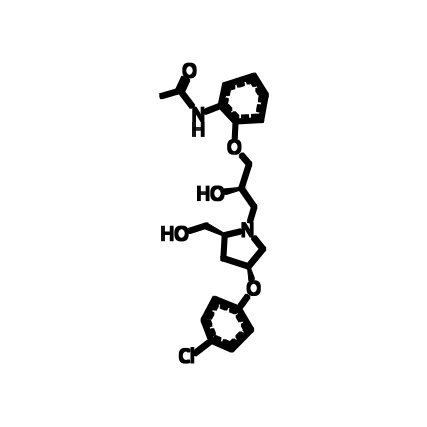 CC(=O)Nc1ccccc1OC[C@H](O)CN1C[C@@H](Oc2ccc(Cl)cc2)C[C@H]1CO